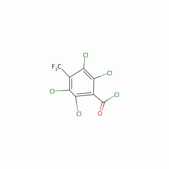 O=C(Cl)c1c(Cl)c(Cl)c(C(F)(F)F)c(Cl)c1Cl